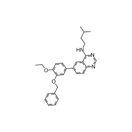 CCOc1ccc(-c2ccc3ncnc(NCCC(C)C)c3c2)cc1OCc1ccccc1